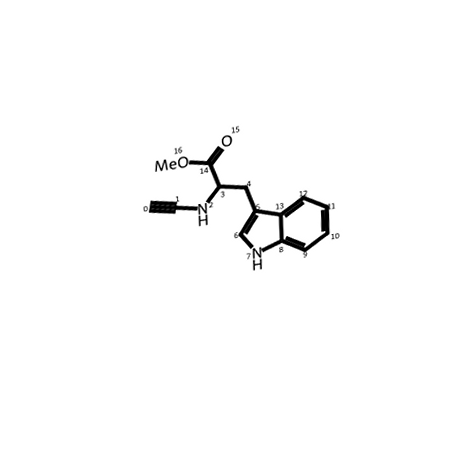 C#CNC(Cc1c[nH]c2ccccc12)C(=O)OC